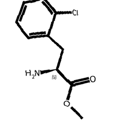 COC(=O)[C@@H](N)Cc1ccccc1Cl